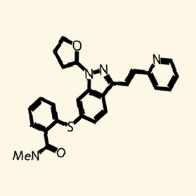 CNC(=O)c1ccccc1Sc1ccc2c(/C=C/c3ccccn3)nn(C3CCCO3)c2c1